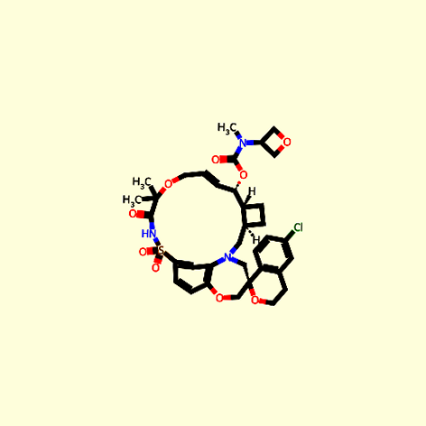 CN(C(=O)O[C@H]1/C=C/COC(C)(C)C(=O)NS(=O)(=O)c2ccc3c(c2)N(C[C@@H]2CC[C@H]21)C[C@]1(CO3)OCCc2cc(Cl)ccc21)C1COC1